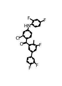 Cc1c(F)cc(-c2ccc(F)c(F)c2)cc1C(=O)c1ccc(Nc2ccc(F)cc2F)cc1Cl